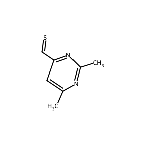 Cc1cc(C=S)nc(C)n1